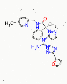 Cc1ccc(CNC(=O)C(C)(c2ccccc2)n2ncc3c2nc(N)n2nc(-c4ccco4)nc32)nc1